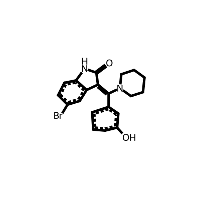 O=C1Nc2ccc(Br)cc2/C1=C(\c1cccc(O)c1)N1CCCCC1